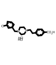 Cl.Cl.O=C(O)c1ccc(CCN2CCN(Cc3cccc(Cl)c3)CC2)cc1